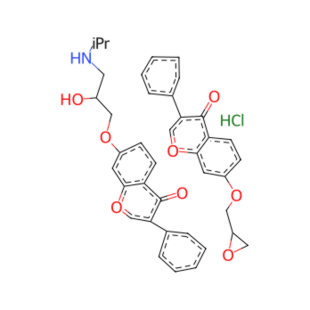 CC(C)NCC(O)COc1ccc2c(=O)c(-c3ccccc3)coc2c1.Cl.O=c1c(-c2ccccc2)coc2cc(OCC3CO3)ccc12